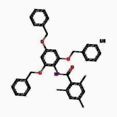 Cc1cc(C)c(C(=O)Pc2c(OCc3ccccc3)cc(OCc3ccccc3)cc2OCc2ccccc2)c(C)c1.[LiH]